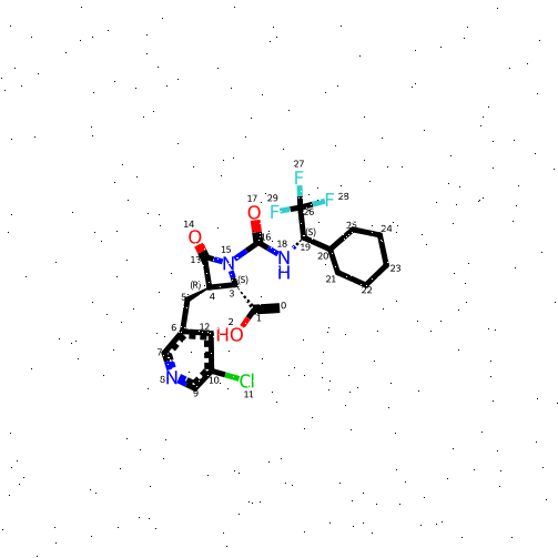 C=C(O)[C@@H]1[C@@H](Cc2cncc(Cl)c2)C(=O)N1C(=O)N[C@@H](C1CCCCC1)C(F)(F)F